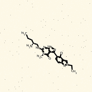 CCC[C@H](N)CNc1nc2[nH]nc(-c3ccc4nn(CC)cc4c3Cl)c2c(=O)n1C